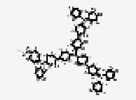 Cc1ccc(N(c2ccccc2)c2ccc(-c3ccc(N(c4ccc(-c5ccc(N(c6ccccc6)c6ccccc6)cc5)cc4)c4ccc(-c5ccc(N(c6ccccc6)c6ccccc6)cc5)cc4)cc3)cc2)cc1